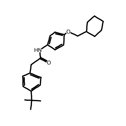 CC(C)(C)c1ccc(CC(=O)Nc2ccc(OCC3CCCCC3)cc2)cc1